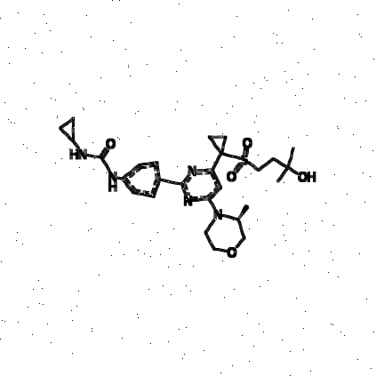 C[C@H]1COCCN1c1cc(C2(S(=O)(=O)CCC(C)(C)O)CC2)nc(-c2ccc(NC(=O)NC3CC3)cc2)n1